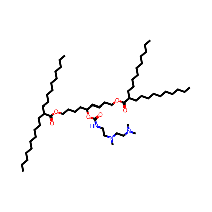 CCCCCCCCCCC(CCCCCCCCCC)C(=O)OCCCCC(CCCCOC(=O)C(CCCCCCCCCC)CCCCCCCCCC)OC(=O)NCCN(C)CCN(C)C